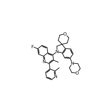 Cc1ncccc1-c1nc2cc(F)ccc2c(N2CC3(CCOCC3)c3ccc(N4CCOCC4)cc32)c1C